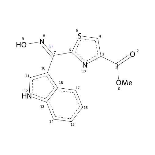 COC(=O)c1csc(/C(=N/O)c2c[nH]c3ccccc23)n1